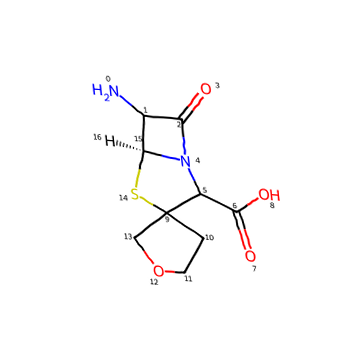 NC1C(=O)N2C(C(=O)O)C3(CCOC3)S[C@@H]12